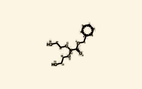 O=C(OCc1ccccc1)N(OCCO)OCCO